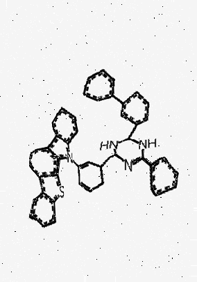 C1=CC(n2c3ccccc3c3ccc4c5ccccc5sc4c32)=CC(C2N=C(c3ccccc3)NC(c3cccc(-c4ccccc4)c3)N2)C1